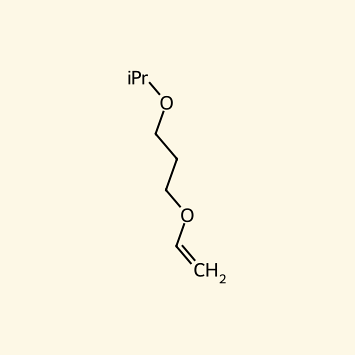 [CH2]C(C)OCCCOC=C